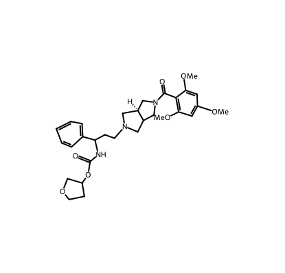 COc1cc(OC)c(C(=O)N2CC3CN(CCC(NC(=O)OC4CCOC4)c4ccccc4)C[C@H]3C2)c(OC)c1